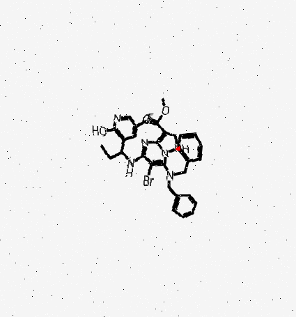 CCC(NC1=NC2=C(C(=O)OC)CNN2C(N(Cc2ccccc2)Cc2ccccc2)=C1Br)c1cc(F)cnc1O